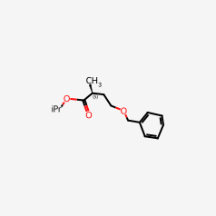 CC(C)OC(=O)[C@@H](C)CCOCc1ccccc1